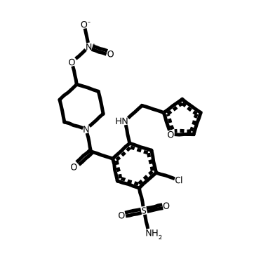 NS(=O)(=O)c1cc(C(=O)N2CCC(O[N+](=O)[O-])CC2)c(NCc2ccco2)cc1Cl